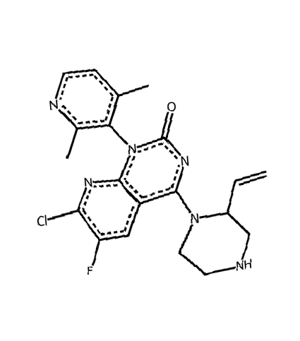 C=CC1CNCCN1c1nc(=O)n(-c2c(C)ccnc2C)c2nc(Cl)c(F)cc12